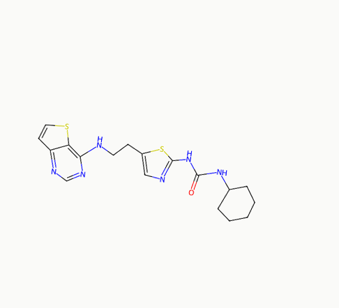 O=C(Nc1ncc(CCNc2ncnc3ccsc23)s1)NC1CCCCC1